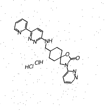 Cl.Cl.O=C1OC2(CCC(CNc3ccc(-c4ccccn4)nn3)CC2)CN1c1cccnn1